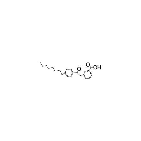 CCCCCCCCc1ccc(C(=O)Cc2cccc(C(=O)O)c2)cc1